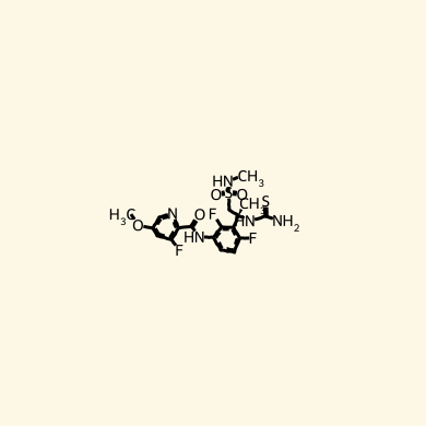 CNS(=O)(=O)C[C@](C)(NC(N)=S)c1c(F)ccc(NC(=O)c2ncc(OC)cc2F)c1F